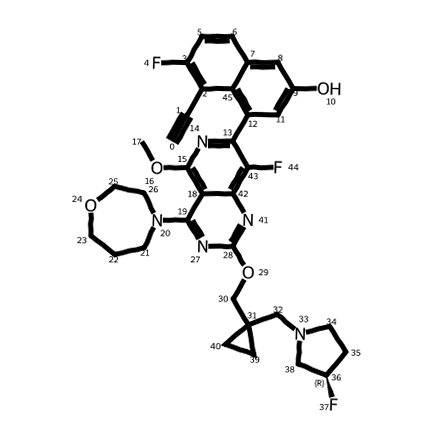 C#Cc1c(F)ccc2cc(O)cc(-c3nc(OC)c4c(N5CCCOCC5)nc(OCC5(CN6CC[C@@H](F)C6)CC5)nc4c3F)c12